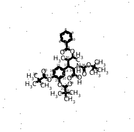 CC(OC(=O)c1ccccc1)C(C)C(c1ccc(OC(=O)C(C)(C)C)c(OC(=O)C(C)(C)C)c1)[C@H](NC(=O)OC(C)(C)C)C(=O)O